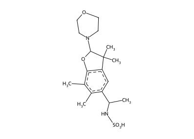 Cc1c(C(C)NS(=O)(=O)O)cc2c(c1C)OC(N1CCOCC1)C2(C)C